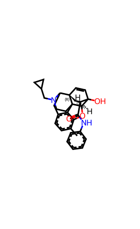 Cc1ccc2c3c1O[C@H]1C4(O)C=C[C@@]5(C[C@@H]4C(=O)Nc4ccccc4)C(C2)N(CC2CC2)CCC315